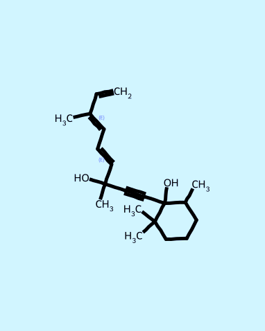 C=C/C(C)=C/C=C/C(C)(O)C#CC1(O)C(C)CCCC1(C)C